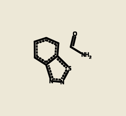 NC=O.c1ccc2snnc2c1